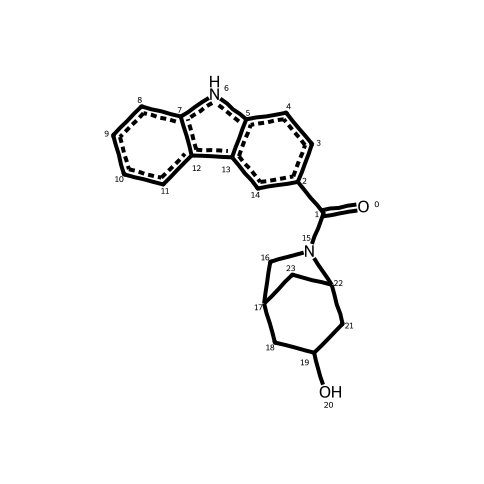 O=C(c1ccc2[nH]c3ccccc3c2c1)N1CC2CC(O)CC1C2